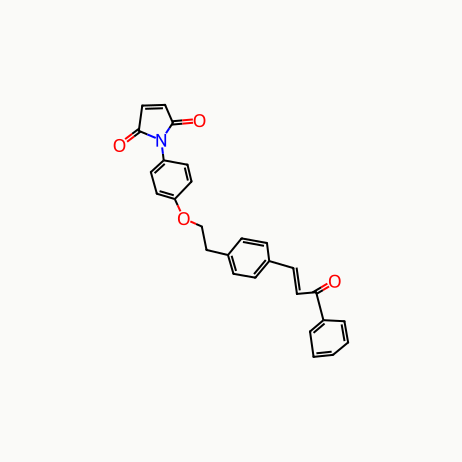 O=C(C=Cc1ccc(CCOc2ccc(N3C(=O)C=CC3=O)cc2)cc1)c1ccccc1